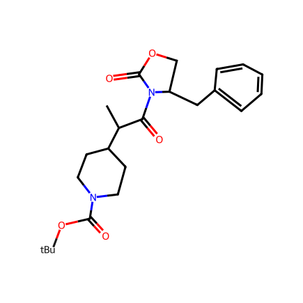 CC(C(=O)N1C(=O)OCC1Cc1ccccc1)C1CCN(C(=O)OC(C)(C)C)CC1